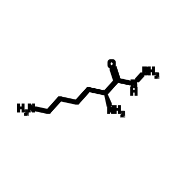 BBC(=O)[C@@H](N)CCCCN